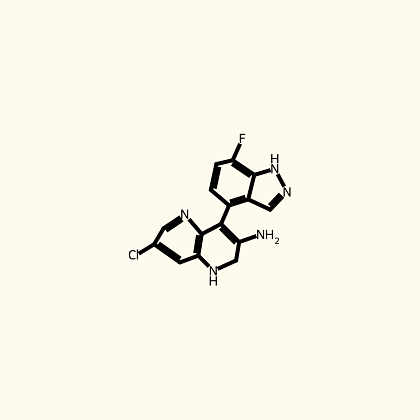 NC1=C(c2ccc(F)c3[nH]ncc23)c2ncc(Cl)cc2NC1